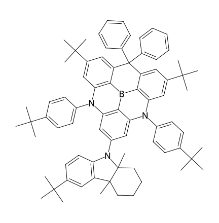 CC(C)(C)c1ccc(N2c3cc(N4c5ccc(C(C)(C)C)cc5C5(C)CCCCC45C)cc4c3B3c5c2cc(C(C)(C)C)cc5C(c2ccccc2)(c2ccccc2)c2cc(C(C)(C)C)cc(c23)N4c2ccc(C(C)(C)C)cc2)cc1